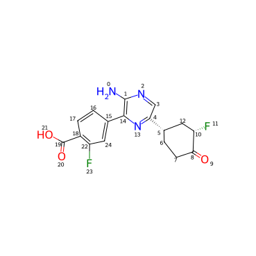 Nc1ncc([C@H]2CCC(=O)[C@@H](F)C2)nc1-c1ccc(C(=O)O)c(F)c1